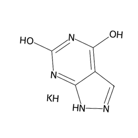 Oc1nc(O)c2cn[nH]c2n1.[KH]